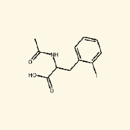 CC(=O)NC(Cc1ccccc1I)C(=O)O